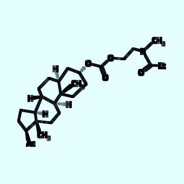 CCC(=O)N(C)CCOC(=O)O[C@@H]1CC[C@@]2(C)[C@@H](CC[C@@H]3[C@@H]2CC[C@]2(C)[C@@H](C(C)=O)CC[C@@H]32)C1